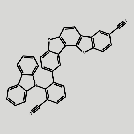 N#Cc1ccc2sc3c(ccc4sc5ccc(-c6cccc(C#N)c6-n6c7ccccc7c7ccccc76)cc5c43)c2c1